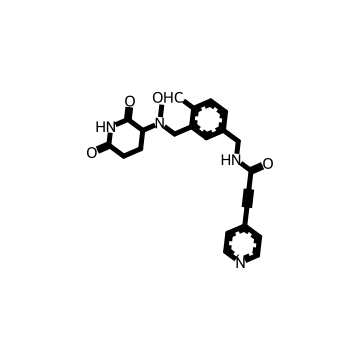 CN(Cc1cc(CNC(=O)C#Cc2ccncc2)ccc1C=O)C1CCC(=O)NC1=O